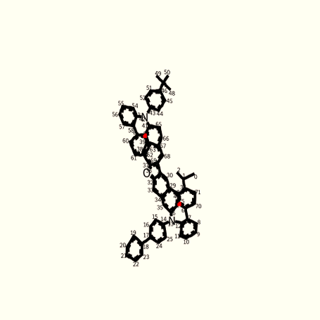 CC(C)c1ccc(-c2ccccc2N(c2ccc(-c3ccccc3)cc2)c2ccc3cc4c(cc3c2)oc2cc3cc(N(c5ccc(C(C)(C)C)cc5)c5ccccc5-c5ccccc5)ccc3cc24)cc1